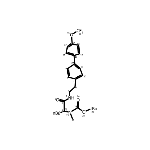 CCCC[C@@H](C(=O)NCCc1ccc(-c2ccc(OC(F)(F)F)cc2)cc1)N(C)C(=O)OC(C)(C)C